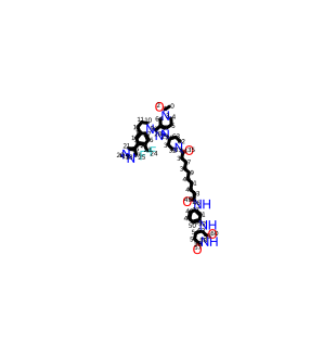 CC(=O)N1CCc2c(c(N3CCCc4cc(-c5cnn(C)c5)c(C(F)F)cc43)nn2C2CCN(C(=O)CCCCCCCCC(=O)Nc3cccc(NC4CCC(=O)NC4=O)c3)CC2)C1